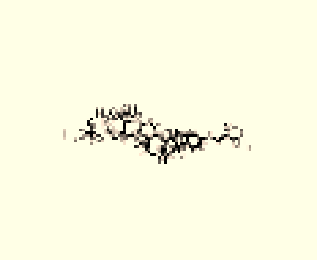 CC(C)=CCc1ccc2c3c([nH]c2c1)[C@@]1(C)[C@@H](CCC2[C@@]4(O)C[C@@H]5O[C@H](C6OC6(C)C)OC(C)(C)[C@H]5OC4CC[C@@]21C)C3